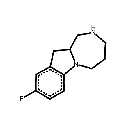 Fc1ccc2c(c1)CC1CNCCCN21